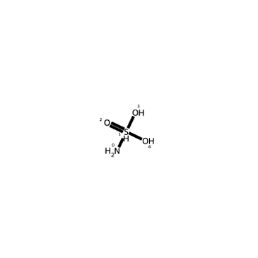 N[SH](=O)(O)O